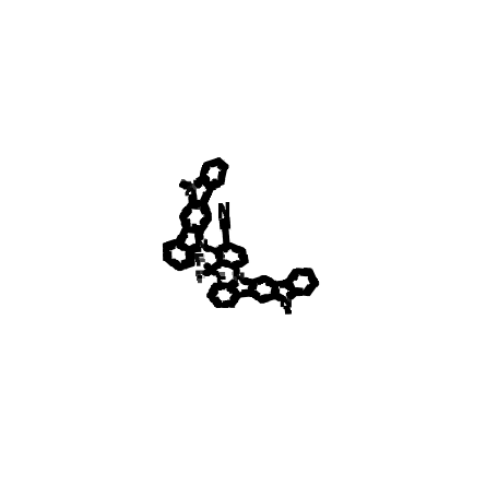 Cn1c2ccccc2c2cc3c(cc21)c1ccccc1n3-c1ccc(C#N)c(-n2c3ccccc3c3cc4c(cc32)c2ccccc2n4C)c1C(F)(F)F